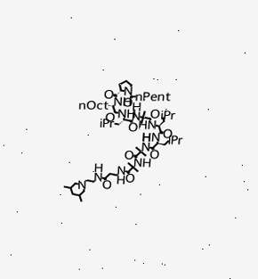 CCCCCCCC[C@H](NC(=O)[C@@H]1CCCN1C(=O)CCCCC)C(=O)N[C@@H](CC(C)C)C(=O)NC(C)(C)C(=O)N[C@@H](CC(C)C)C(=O)N[C@@H](CC(C)C)C(=O)NC(C)(C)C(=O)NC(C)(C)C(=O)NCCC(=O)NCCN1CC(C)CC(C)C1